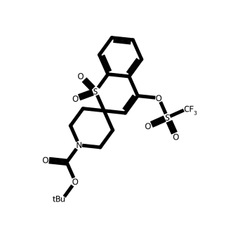 CC(C)(C)OC(=O)N1CCC2(C=C(OS(=O)(=O)C(F)(F)F)c3ccccc3S2(=O)=O)CC1